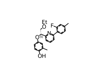 CCOC[C@@H](Oc1ccc(O)c(C)c1)c1cccc(-c2ccc(C)cc2F)n1